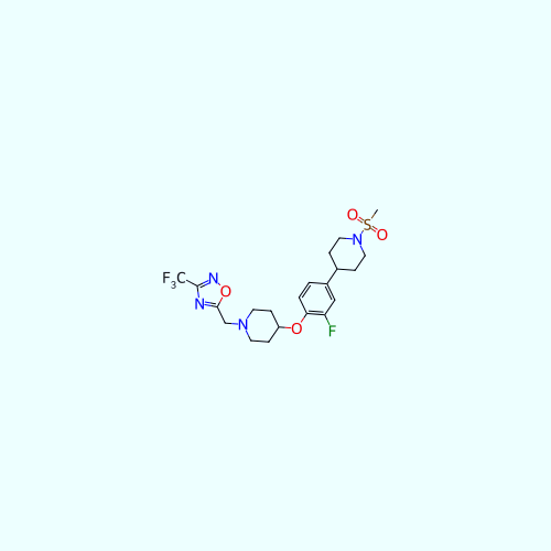 CS(=O)(=O)N1CCC(c2ccc(OC3CCN(Cc4nc(C(F)(F)F)no4)CC3)c(F)c2)CC1